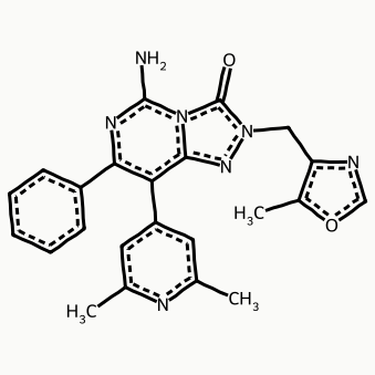 Cc1cc(-c2c(-c3ccccc3)nc(N)n3c(=O)n(Cc4ncoc4C)nc23)cc(C)n1